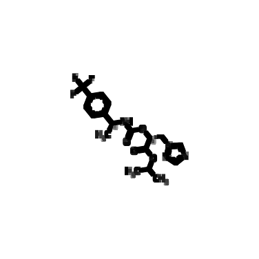 CC(C)OC(=O)[C@@H](Cn1cncn1)OC(=O)N[C@@H](C)c1ccc(C(F)(F)F)cc1